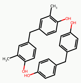 Cc1cc(Cc2ccc(O)c(C)c2)ccc1O.Oc1ccc(Cc2ccc(O)cc2)cc1